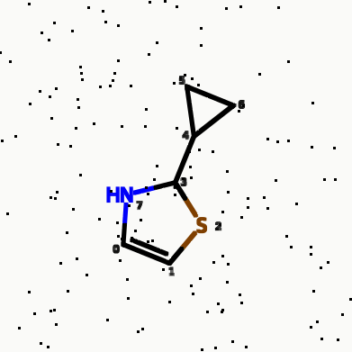 C1=CS[C](C2CC2)N1